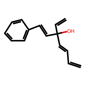 C=CC=CC(O)(C=C)C=Cc1ccccc1